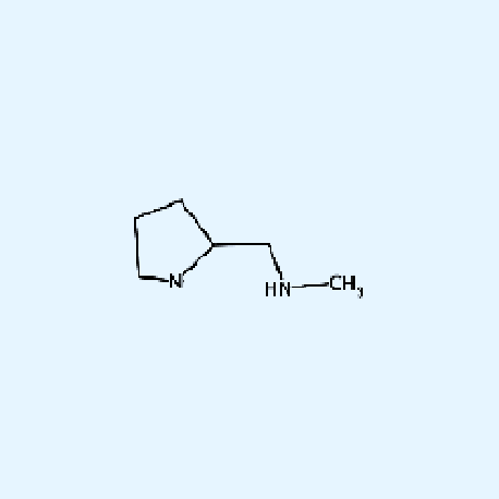 CNCC1CCC[N]1